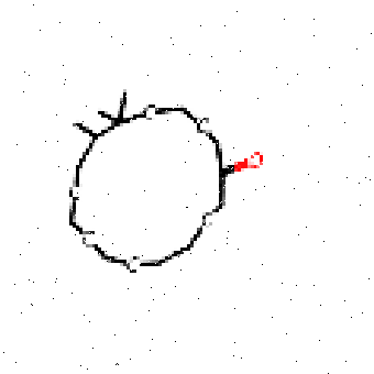 CC1CCCCCCCCCCC(=O)CCCCC1(C)C